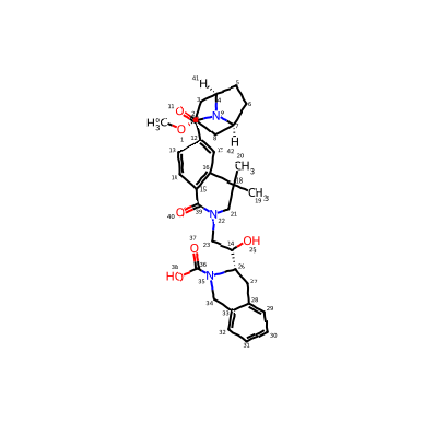 CO[C@@H]1C[C@H]2CC[C@@H](C1)N2C(=O)c1ccc2c(c1)C(C)(C)CN(CC(O)[C@@H]1Cc3ccccc3CN1C(=O)O)C2=O